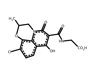 CC1Cn2c(=O)c(C(=O)NCC(=O)O)c(O)c3ccc(Cl)c(c32)O1